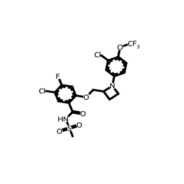 CS(=O)(=O)NC(=O)c1cc(Cl)c(F)cc1OCC1CCN1c1ccc(OC(F)(F)F)c(Cl)c1